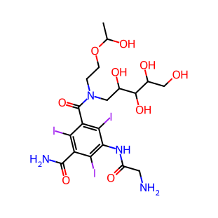 CC(O)OCCN(CC(O)C(O)C(O)CO)C(=O)c1c(I)c(NC(=O)CN)c(I)c(C(N)=O)c1I